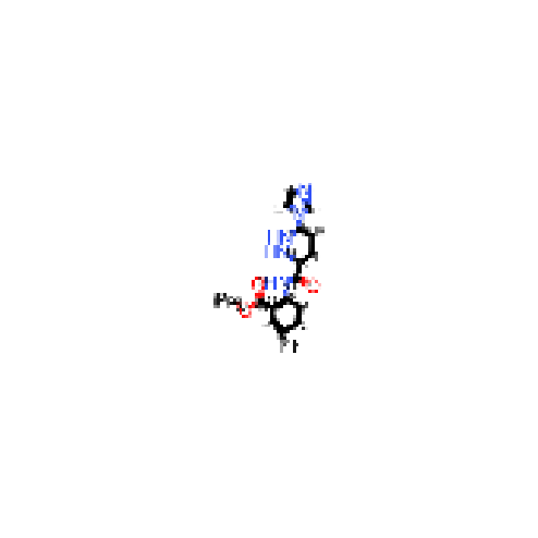 CCc1ccc(NC(=O)C2CCC(n3ccnc3)NN2)c(C(=O)OC(C)C)c1